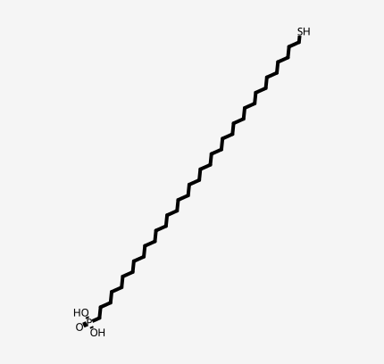 O=P(O)(O)CCCCCCCCCCCCCCCCCCCCCCCCCCCCCCCCCCCCCS